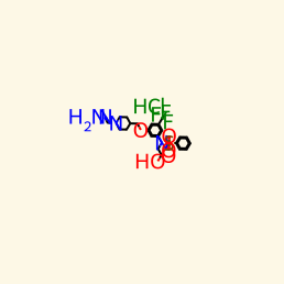 Cl.NN=CN1CCC(COc2cc(N(CC(=O)O)S(=O)(=O)c3ccccc3)cc(C(F)(F)F)c2)CC1